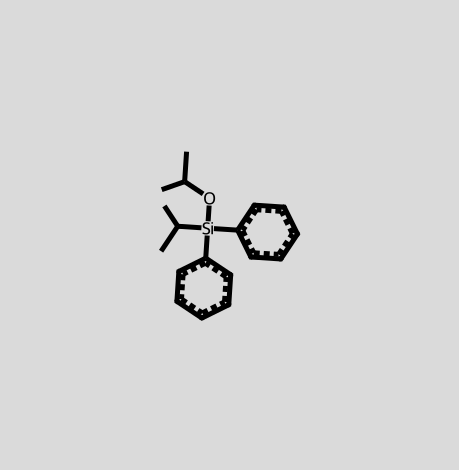 CC(C)O[Si](c1ccccc1)(c1ccccc1)C(C)C